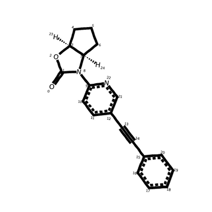 O=C1O[C@H]2CCC[C@H]2N1c1ccc(C#Cc2ccccc2)cn1